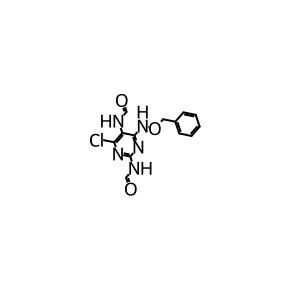 O=CNc1nc(Cl)c(NC=O)c(NOCc2ccccc2)n1